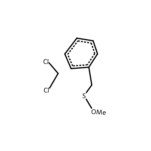 COSCc1ccccc1.ClCCl